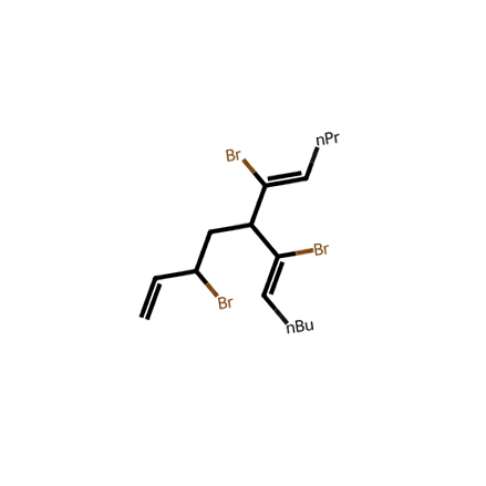 C=CC(Br)CC(C(Br)=CCCC)C(Br)=CCCCC